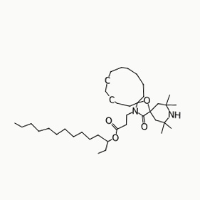 CCCCCCCCCCCC(CC)OC(=O)CCN1C(=O)C2(CC(C)(C)NC(C)(C)C2)OC12CCCCCCCCCCC2